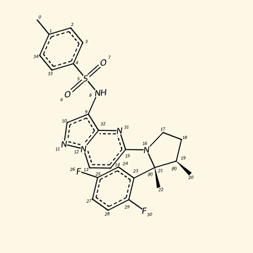 Cc1ccc(S(=O)(=O)Nc2cnn3ccc(N4CC[C@@H](C)[C@]4(C)c4cc(F)ccc4F)nc23)cc1